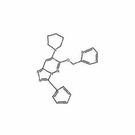 c1ccc(-c2nnc3cc(N4CCCCC4)c(OCc4ccccn4)nn23)cc1